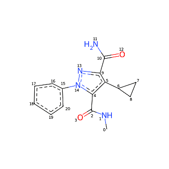 CNC(=O)c1c(C2CC2)c(C(N)=O)nn1-c1ccccc1